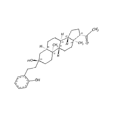 CC(=O)[C@H]1CC[C@H]2[C@@H]3CC[C@@H]4C[C@@](O)(CCc5ccccc5O)CC[C@]4(C)[C@H]3CC[C@]12C